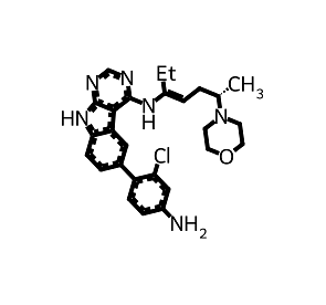 CC/C(=C\C[C@H](C)N1CCOCC1)Nc1ncnc2[nH]c3ccc(-c4ccc(N)cc4Cl)cc3c12